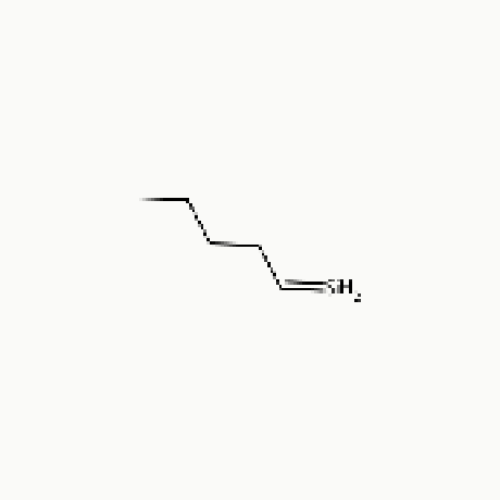 CCCCC=[SiH2]